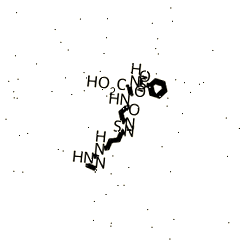 O=C(Cc1nnc(CCCNC2=NCCN2)s1)NC[C@H](NS(=O)(=O)c1ccccc1)C(=O)O